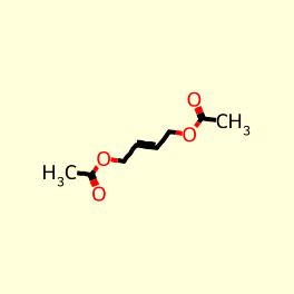 CC(=O)OC/C=C/COC(C)=O